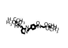 CC(C)(C)OC(=O)CCNC(=O)c1ccc(-c2cn3c(n2)C(CNC(=O)OC(C)(C)C)CCC3)cc1